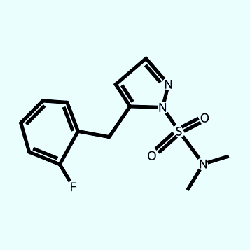 CN(C)S(=O)(=O)n1nccc1Cc1ccccc1F